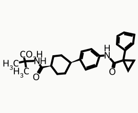 CC(C)(NC(=O)[C@H]1CC[C@@H](c2ccc(NC(=O)C3(c4ccccc4)CC3)cc2)CC1)C(=O)O